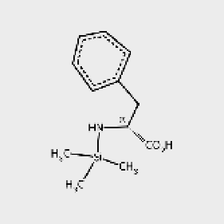 C[Si](C)(C)N[C@H](Cc1ccccc1)C(=O)O